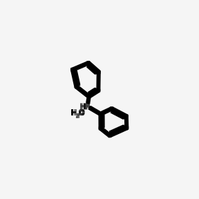 O.c1ccc(Pc2ccccc2)cc1